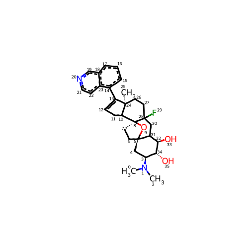 CN(C)[C@H]1C[C@@]23CC[C@]4(O2)C2CC=C(c5cccc6cnccc56)[C@@]2(C)CCC4(F)CC3[C@@H](O)[C@@H]1O